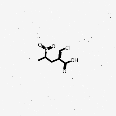 CC(CC(=CCl)C(=O)O)P(=O)=O